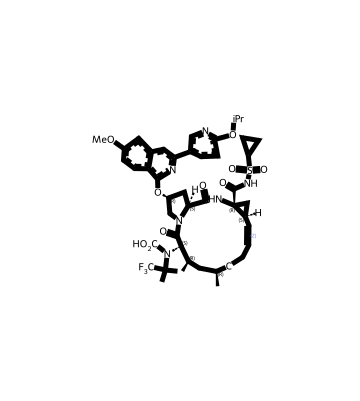 COc1ccc2c(O[C@@H]3C[C@H]4C(=O)N[C@]5(C(=O)NS(=O)(=O)C6CC6)C[C@H]5/C=C\CC[C@@H](C)C[C@@H](C)[C@H](N(C(=O)O)C(C)(C)C(F)(F)F)C(=O)N4C3)nc(-c3ccc(OC(C)C)nc3)cc2c1